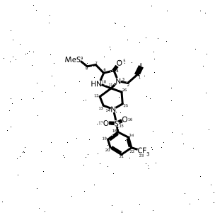 C#CCN1C(=O)C(CCSC)NC12CCN(S(=O)(=O)c1cccc(C(F)(F)F)c1)CC2